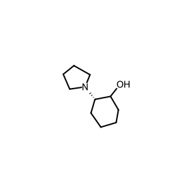 OC1CCCC[C@@H]1N1CCCC1